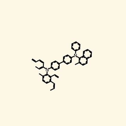 C=C/C=C\C(=C/C)N(c1ccc(-c2ccc(N(c3ccccc3)c3c(C)ccc4ccccc34)cc2)cc1)c1c(C)ccc(/C=C\C)c1C=C